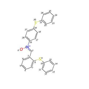 [O-]/[N+](=C\c1ccccc1Sc1ccccc1)c1ccc(Sc2ccccc2)cc1